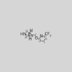 FC(F)(F)c1cccc(OC[C@H]2[C@@H]3CNC[C@@H]32)n1